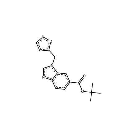 CC(C)(C)OC(=O)c1ccc2ncn(Cc3ccno3)c2c1